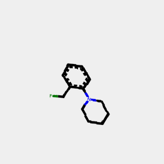 FCc1ccccc1N1CCCCC1